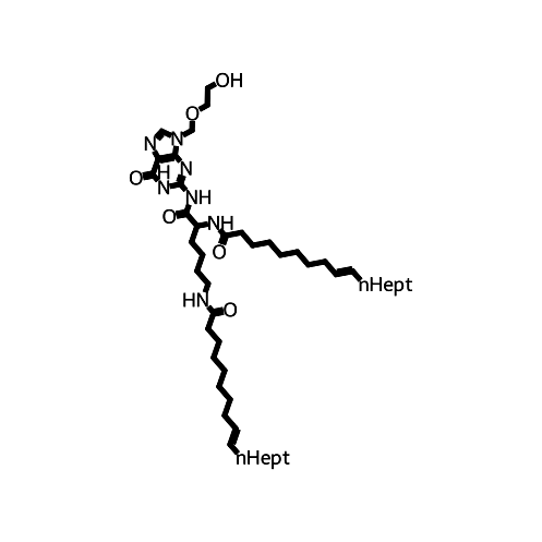 CCCCCCC/C=C/CCCCCCCC(=O)NCCCCC(NC(=O)CCCCCCC/C=C/CCCCCCC)C(=O)Nc1nc2c(ncn2COCCO)c(=O)[nH]1